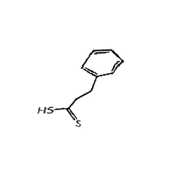 S=C(S)CCc1ccccc1